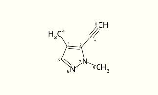 C#Cc1c(C)cnn1C